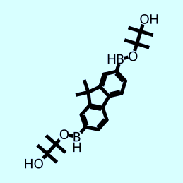 CC1(C)c2cc(BOC(C)(C)C(C)(C)O)ccc2-c2ccc(BOC(C)(C)C(C)(C)O)cc21